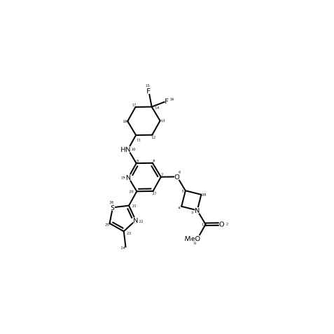 COC(=O)N1CC(Oc2cc(NC3CCC(F)(F)CC3)nc(-c3nc(C)cs3)c2)C1